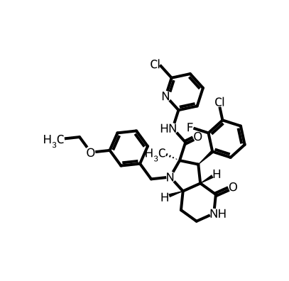 CCOc1cccc(CN2[C@H]3CCNC(=O)[C@H]3[C@H](c3cccc(Cl)c3F)[C@]2(C)C(=O)Nc2cccc(Cl)n2)c1